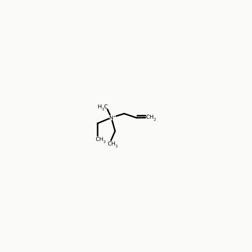 C=CC[N+](C)(CC)CC